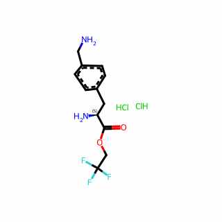 Cl.Cl.NCc1ccc(C[C@H](N)C(=O)OCC(F)(F)F)cc1